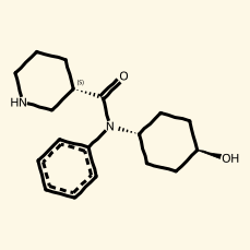 O=C([C@H]1CCCNC1)N(c1ccccc1)[C@H]1CC[C@H](O)CC1